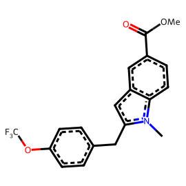 COC(=O)c1ccc2c(c1)cc(Cc1ccc(OC(F)(F)F)cc1)n2C